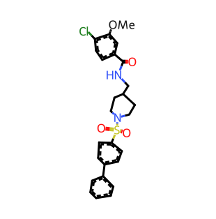 COc1cc(C(=O)NCC2CCN(S(=O)(=O)c3ccc(-c4ccccc4)cc3)CC2)ccc1Cl